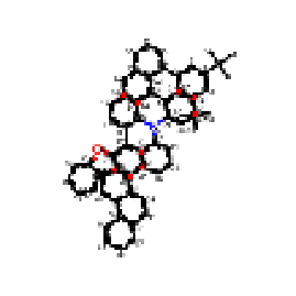 CC(C)(C)c1cc(-c2cccc3cccc(-c4ccccc4N(c4cccc(-c5cccc6c5ccc5ccccc56)c4)c4ccccc4-c4cccc5c4oc4ccccc45)c23)cc(C(C)(C)C)c1